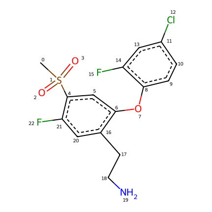 CS(=O)(=O)c1cc(Oc2ccc(Cl)cc2F)c(CCN)cc1F